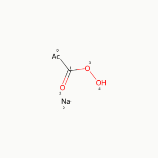 CC(=O)C(=O)OO.[Na]